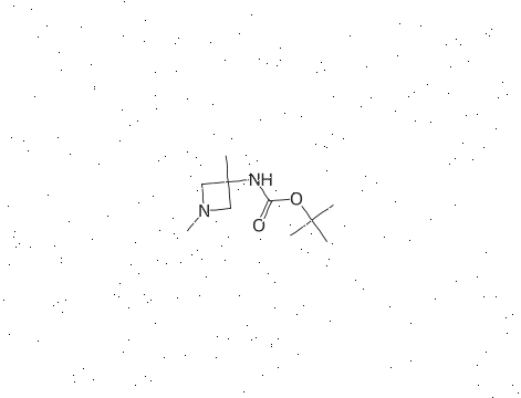 CN1CC(C)(NC(=O)OC(C)(C)C)C1